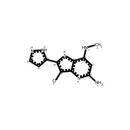 CNc1cc(N)nc2c(Cl)c(-c3ccn[nH]3)sc12